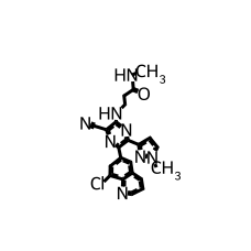 CNC(=O)CCNc1nc(-c2ccn(C)n2)c(-c2cc(Cl)c3ncccc3c2)nc1C#N